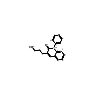 O=c1c(CCCO)cc2cccnc2n1-c1ccccc1